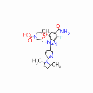 COc1cc(C(N)=O)c(F)c2nc(-c3ccc(N4[C@@H](C)CC[C@@H]4C)nc3)n(C[C@@H]3CN(C(=O)O)CCO3)c12